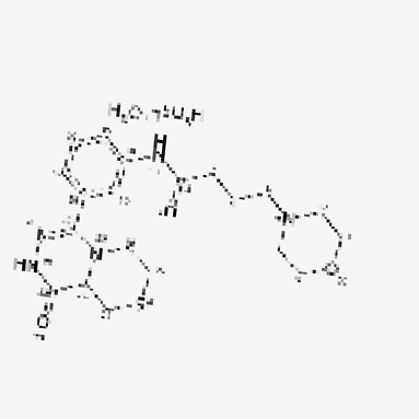 CS(=O)(=O)O.O=C(CCCN1CCOCC1)Nc1cccc(C2=NNC(=O)C3CSCCN23)c1